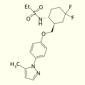 CCS(=O)(=O)N[C@@H]1CCC(F)(F)C[C@H]1COc1ccc(-n2nccc2C)cc1